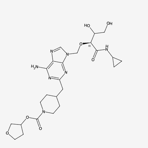 Nc1nc(CC2CCN(C(=O)OC3CCOC3)CC2)nc2c1ncn2CO[C@H](C(=O)NC1CC1)C(O)CO